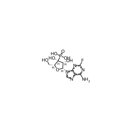 Nc1nc(F)nc2c1ncn2[C@@H]1O[C@H](CO)[C@@](O)(P(=O)(O)O)[C@@H]1O